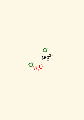 O.[Cl-].[Cl-].[Mg+2]